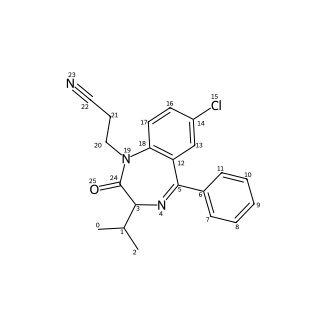 CC(C)C1N=C(c2ccccc2)c2cc(Cl)ccc2N(CCC#N)C1=O